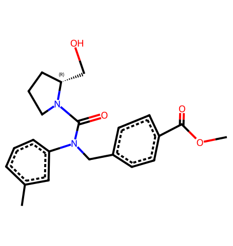 COC(=O)c1ccc(CN(C(=O)N2CCC[C@@H]2CO)c2cccc(C)c2)cc1